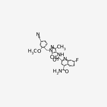 COc1cc(C#N)ccc1Cn1nc(C)c(NC(=O)c2cc(C(N)=O)c3ccc(F)cc3n2)c1C